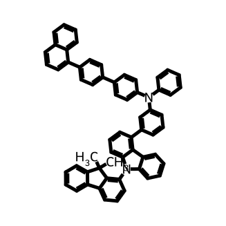 CC1(C)c2ccccc2-c2cccc(-n3c4ccccc4c4c(-c5cccc(N(c6ccccc6)c6ccc(-c7ccc(-c8cccc9ccccc89)cc7)cc6)c5)cccc43)c21